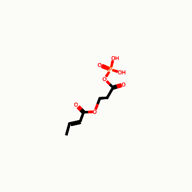 CC=CC(=O)OCCC(=O)OP(=O)(O)O